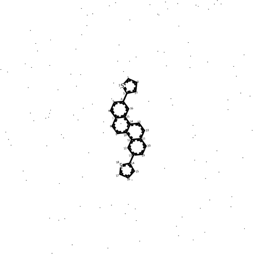 c1csc(-c2ccc3ccc4c5cc(-c6cccs6)ccc5ccc4c3c2)c1